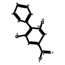 [O-][N+](=S)c1cc(Cl)c(-c2ccccc2)c(Cl)c1